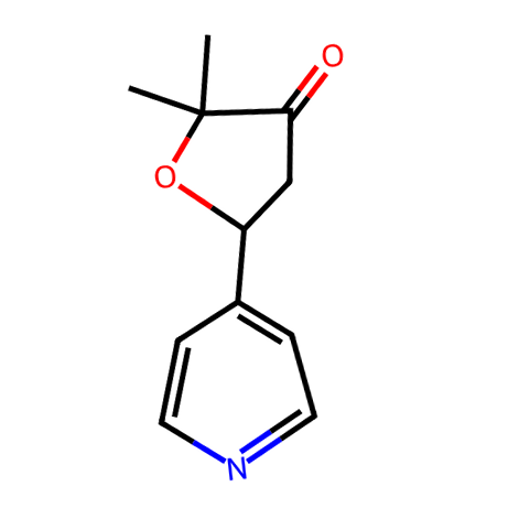 CC1(C)OC(c2ccncc2)CC1=O